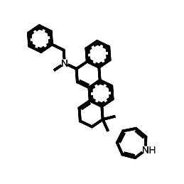 C1=CC=CNC=C1.CN(Cc1ccccc1)C1C=c2c(ccc3c2=CCCC3(C)C)-c2ccccc21